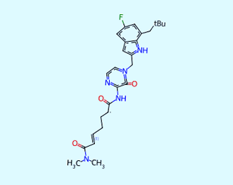 CN(C)C(=O)/C=C/CC[CH]C(=O)Nc1nccn(Cc2cc3cc(F)cc(CC(C)(C)C)c3[nH]2)c1=O